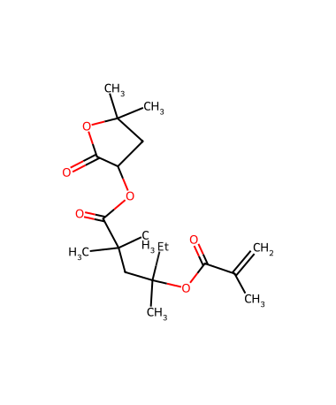 C=C(C)C(=O)OC(C)(CC)CC(C)(C)C(=O)OC1CC(C)(C)OC1=O